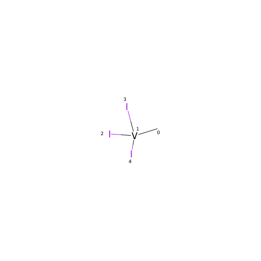 [CH3][V]([I])([I])[I]